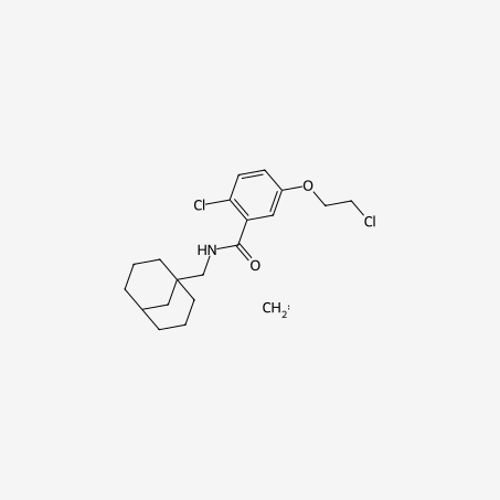 O=C(NCC12CCCC(CCC1)C2)c1cc(OCCCl)ccc1Cl.[CH2]